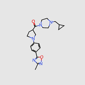 Cc1noc(-c2ccc(N3CCC(C(=O)N4CCN(CC5CC5)CC4)C3)cc2)n1